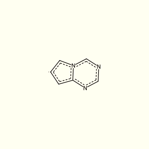 [c]1cc2ncncn2c1